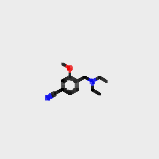 CCN(CC)Cc1ccc(C#N)cc1OC